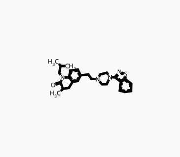 CC(C)CN1C(=O)C(C)Cc2cc(CCN3CCN(c4nsc5ccccc45)CC3)ccc21